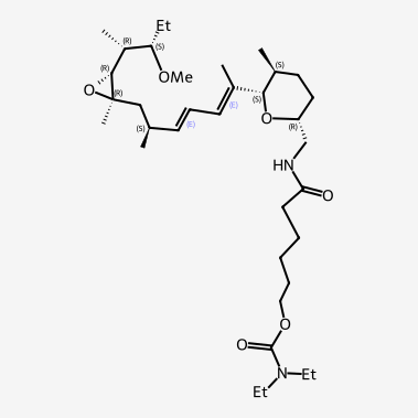 CC[C@H](OC)[C@@H](C)[C@H]1O[C@]1(C)C[C@H](C)/C=C/C=C(\C)[C@H]1O[C@@H](CNC(=O)CCCCCOC(=O)N(CC)CC)CC[C@@H]1C